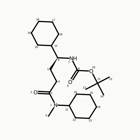 CN(C(=O)CC[C@H](NC(=O)OC(C)(C)C)C1CCCCC1)C1CCCCC1